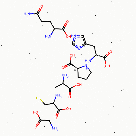 CC(N)C(=O)O.NC(=O)CCC(N)C(=O)O.NC(CS)C(=O)O.NC(Cc1c[nH]cn1)C(=O)O.NCC(=O)O.O=C(O)[C@@H]1CCCN1